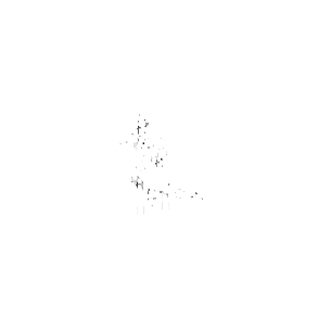 CO[C@@H](C)COc1nc(N2C[C@@H]3C[C@H]2CN3)c2cc(C3CC3)c(-c3c(C)c(F)cc4[nH]ncc34)c(OCc3ccc(-c4cn([C@H](C(=O)N5C[C@H](O)C[C@H]5C(=O)N[C@@H](CO)c5ccc(-c6scnc6C)cc5)C(C)C)nn4)cc3)c2n1